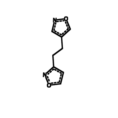 c1cc(CCc2cnoc2)no1